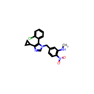 CNc1cc(Cn2cnc(C3CC3)c2-c2ccccc2Cl)ccc1[N+](=O)[O-]